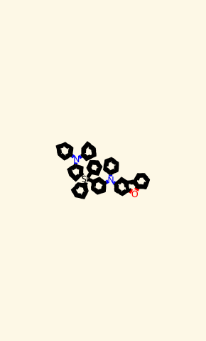 c1ccc(N(c2ccccc2)c2cccc([Si](c3ccccc3)(c3ccccc3)c3cccc(N(c4ccccc4)c4ccc5oc6ccccc6c5c4)c3)c2)cc1